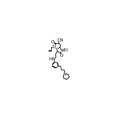 C=CCOC(=O)C(C#N)CC1SC(CCNc2cccc(CCCN3CCCCC3)c2)C(=O)N1CC